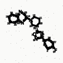 Fc1ccc(-c2noc([C@H]3CCCN(c4cnc5c[c]ccc5n4)C3)n2)cc1